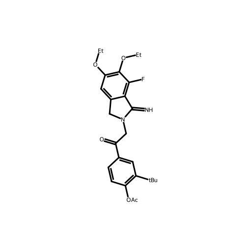 CCOc1cc2c(c(F)c1OCC)C(=N)N(CC(=O)c1ccc(OC(C)=O)c(C(C)(C)C)c1)C2